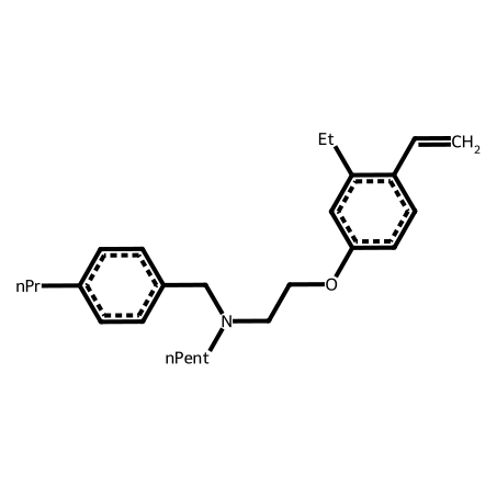 C=Cc1ccc(OCCN(CCCCC)Cc2ccc(CCC)cc2)cc1CC